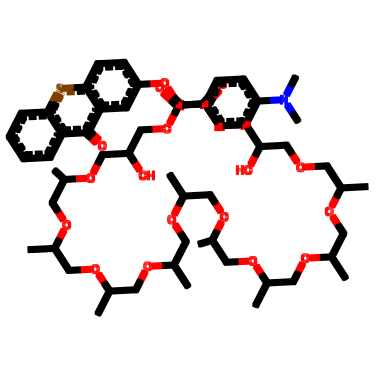 CC(COCC(O)COC(=O)COc1ccc2sc3ccccc3c(=O)c2c1)OCC(C)OCC(C)OCC(C)OCC(C)OCC(C)OCC(C)OCC(C)OCC(C)OCC(O)COC(=O)c1ccc(N(C)C)cc1